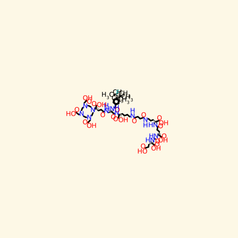 CC(C)(C)[Si](F)(c1ccc(C(=O)N[C@H](CNC(=O)CC[C@H](C(=O)O)N2CCN(CC(=O)O)CCN(CC(=O)O)CCN(CC(=O)O)CC2)C(=O)N[C@@H](CCCCNC(=O)CCC(=O)NCCC[C@@H](NC(=O)CC[C@H](NC(=O)N[C@@H](CCC(=O)O)C(=O)O)C(=O)O)C(=O)O)C(=O)O)cc1)C(C)(C)C